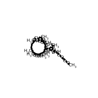 CCOCCOCCOCCOCCNC(=O)O[C@@H]1CC[C@@H](C[C@@H](N)C2C[C@@H](O)[C@H](C)/C=C(\C)[C@@H](O)[C@@H](O)C(=O)[C@H](C)C[C@H](C)/C=C/C=C/C=C(\C)[C@@H](OC)C[C@@H]3CC[C@@H](C)C(=O)C(O)(O3)C(=O)N(CC)[C@@H](CC)C(=O)O2)C[C@H]1OC